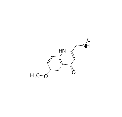 COc1ccc2[nH]c(CNCl)cc(=O)c2c1